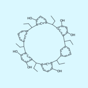 CCC1c2cccc(c2)C(CC)c2cc(c(O)cc2O)C(CC)c2ccc(O)c(c2)C(CC)c2cccc(c2)C(CC)c2cc(c(O)cc2O)C(CC)c2ccc(O)c1c2